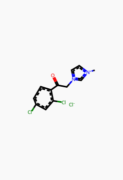 C[n+]1ccn(CC(=O)c2ccc(Cl)cc2Cl)c1.[Cl-]